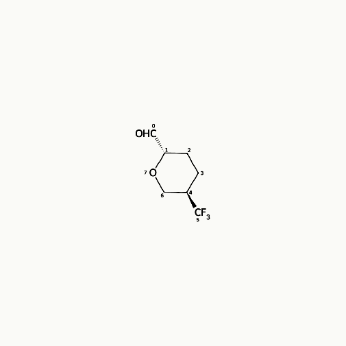 O=C[C@@H]1CC[C@@H](C(F)(F)F)CO1